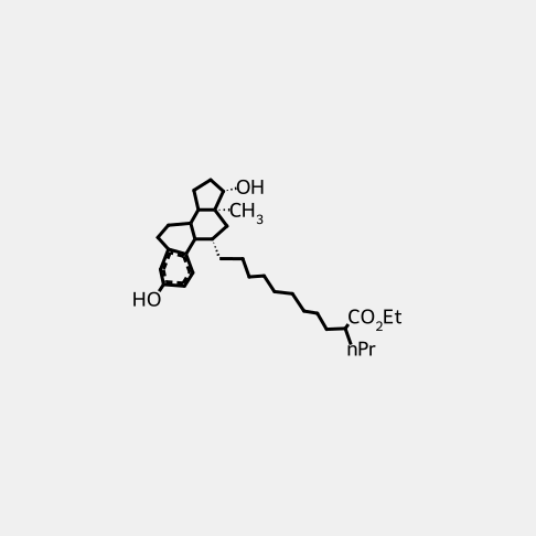 CCCC(CCCCCCCCC[C@H]1C[C@@]2(C)C(CC[C@@H]2O)C2CCc3cc(O)ccc3C21)C(=O)OCC